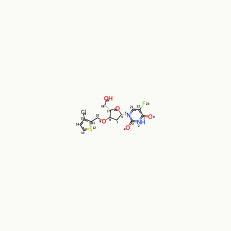 O=c1[nH]c(=O)n([C@@H]2CC(OCc3sccc3Cl)[C@H](CO)O2)cc1F